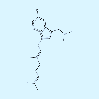 CC(C)=CCC/C(C)=C/Cn1cc(CN(C)C)c2cc(F)ccc21